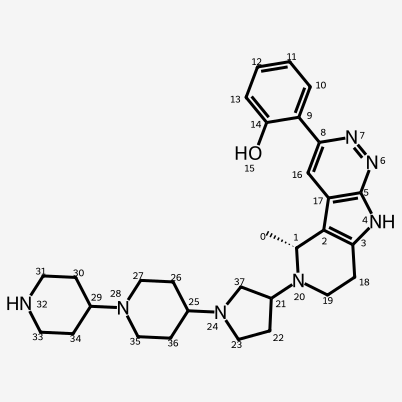 C[C@@H]1c2c([nH]c3nnc(-c4ccccc4O)cc23)CCN1C1CCN(C2CCN(C3CCNCC3)CC2)C1